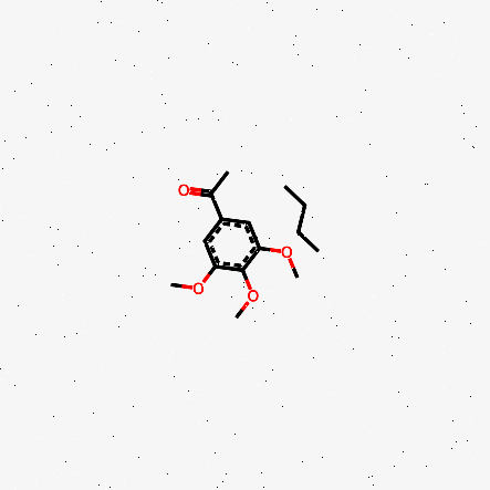 CCCC.COc1cc(C(C)=O)cc(OC)c1OC